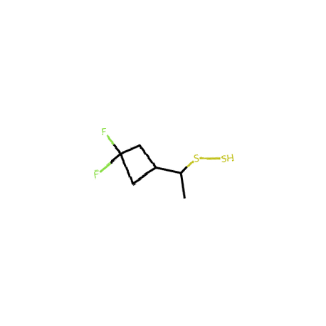 CC(SS)C1CC(F)(F)C1